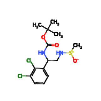 C[S+]([O-])NCC(NC(=O)OC(C)(C)C)c1cccc(Cl)c1Cl